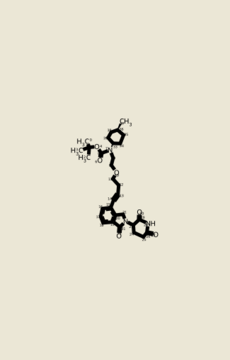 CC(C)(C)OC(=O)N(CCOCCC#Cc1cccc2c1CN(C1CCC(=O)NC1=O)C2=O)[C@H]1CC[C@H](C)CC1